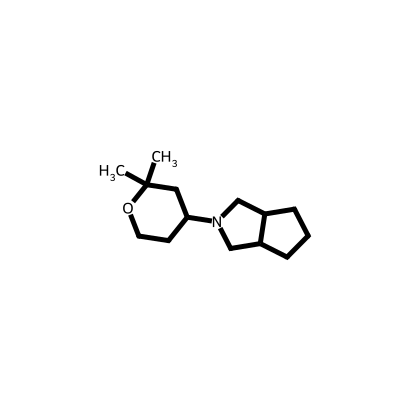 CC1(C)CC(N2CC3CCCC3C2)CCO1